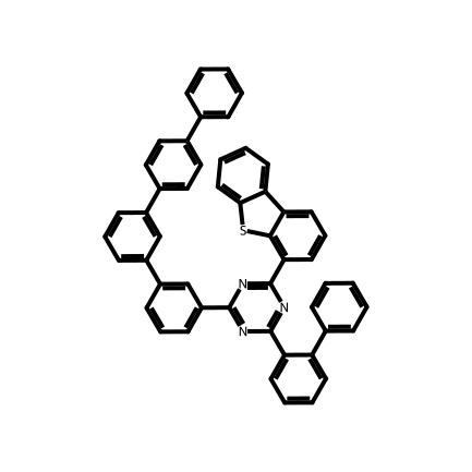 c1ccc(-c2ccc(-c3cccc(-c4cccc(-c5nc(-c6ccccc6-c6ccccc6)nc(-c6cccc7c6sc6ccccc67)n5)c4)c3)cc2)cc1